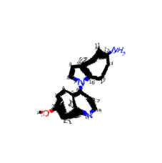 COc1ccc2c(-n3ccc4cc(N)ccc43)ccnc2c1